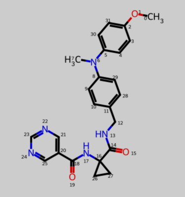 COc1ccc(N(C)c2ccc(CNC(=O)C3(NC(=O)c4cncnc4)CC3)cc2)cc1